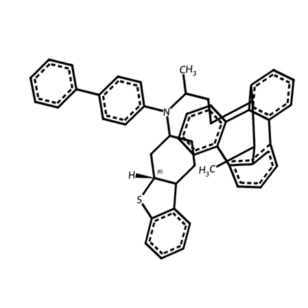 CC1c2c3cccc2-c2cccc(c2-c2ccccc2-3)C1CCC(C)N(c1ccc(-c2ccccc2)cc1)C1CCC2c3ccccc3S[C@@H]2C1